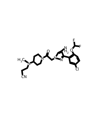 CN(CCC#N)C1CCN(C(=O)Cn2cc(N)c(-c3cc(Cl)ccc3OC(F)F)n2)CC1